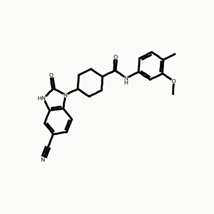 COc1cc(NC(=O)C2CCC(n3c(=O)[nH]c4cc(C#N)ccc43)CC2)ccc1C